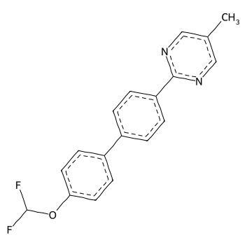 Cc1cnc(-c2ccc(-c3ccc(OC(F)F)cc3)cc2)nc1